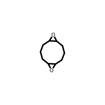 C1CC2OC2CCCC2OC2C1